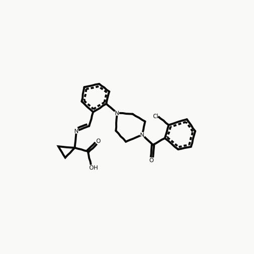 O=C(c1ccccc1Cl)N1CCN(c2ccccc2C=NC2(C(=O)O)CC2)CC1